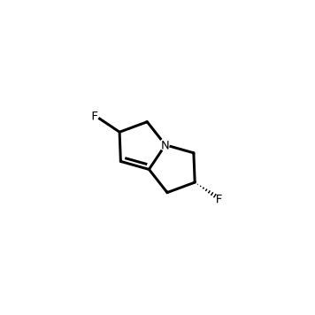 FC1C=C2C[C@@H](F)CN2C1